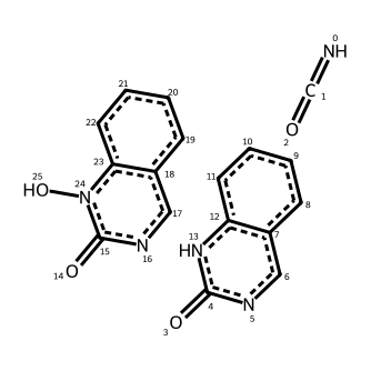 N=C=O.O=c1ncc2ccccc2[nH]1.O=c1ncc2ccccc2n1O